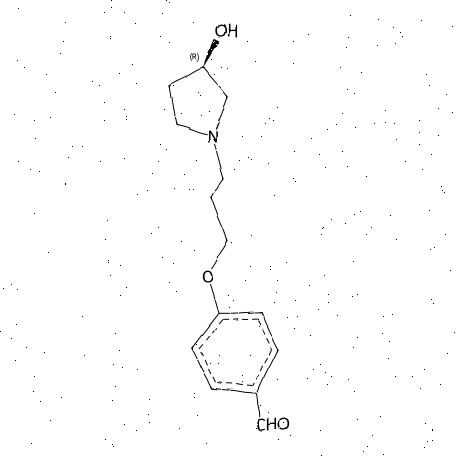 O=Cc1ccc(OCCCN2CC[C@@H](O)C2)cc1